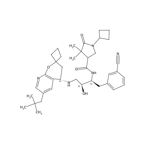 CC(C)(C)Cc1cnc2c(c1)[C@@H](NC[C@H](O)[C@H](Cc1cccc(C#N)c1)NC(=O)C1CN(C3CCC3)C(=O)C1(C)C)CC1(CCC1)O2